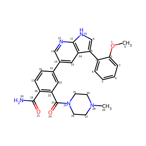 COc1ccccc1-c1c[nH]c2ncc(-c3ccc(C(N)=O)c(C(=O)N4CCN(C)CC4)c3)cc12